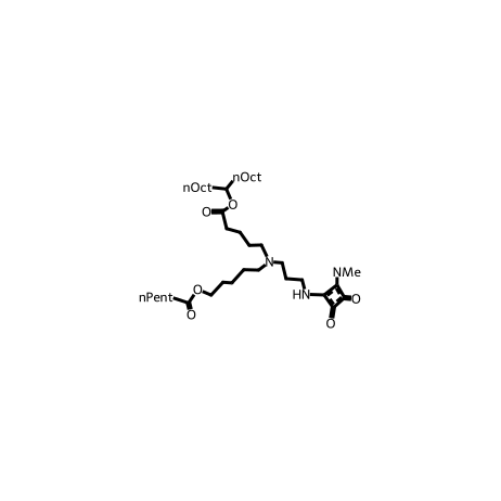 CCCCCCCCC(CCCCCCCC)OC(=O)CCCCN(CCCCCOC(=O)CCCCC)CCCNc1c(NC)c(=O)c1=O